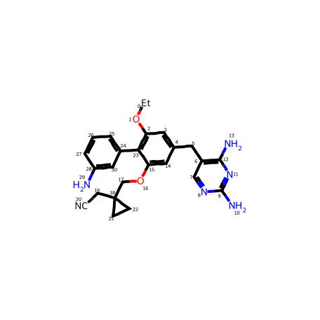 CCOc1cc(Cc2cnc(N)nc2N)cc(OCC2(CC#N)CC2)c1-c1cccc(N)c1